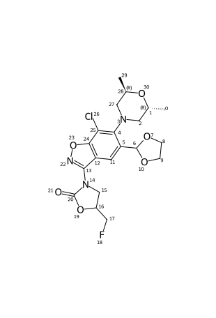 C[C@@H]1CN(c2c(C3OCCO3)cc3c(N4CC(CF)OC4=O)noc3c2Cl)C[C@@H](C)O1